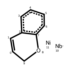 C1=Cc2ccccc2OC1.[Nb].[Ni]